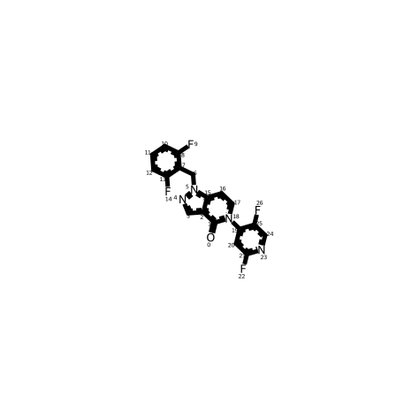 O=c1c2cnn(Cc3c(F)cccc3F)c2ccn1-c1cc(F)ncc1F